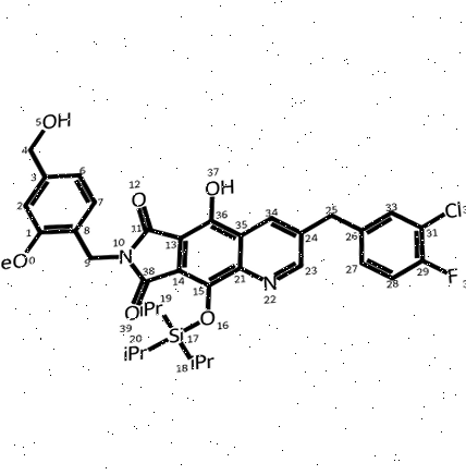 COc1cc(CO)ccc1CN1C(=O)c2c(c(O[Si](C(C)C)(C(C)C)C(C)C)c3ncc(Cc4ccc(F)c(Cl)c4)cc3c2O)C1=O